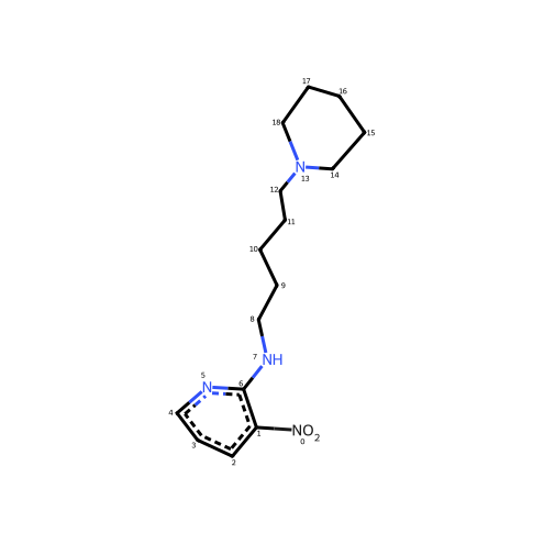 O=[N+]([O-])c1cccnc1NCCCCCN1CCCCC1